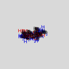 CCCC[C@@H](C(=O)N(C)[C@@H](CCCC)C(=O)N[C@@H](CCCN)C(=O)N[C@@H](CSCC(=O)N[C@@H](Cc1ccc(O)cc1)C(=O)N1CC[C@H]1C(=O)N[C@@H](CC(N)=O)C(=O)N1CCC[C@H]1C(=O)N[C@@H](Cc1cnc[nH]1)C(=O)N[C@@H](CC(C)C)C(=O)N1C[C@H](O)C[C@H]1C(C)=O)C(=O)NCC(N)=O)N(C)C(=O)[C@H](Cc1c[nH]c2ccccc12)NC(=O)[C@H](CO)NC(=O)[C@@H](N)Cc1c[nH]c2ccccc12